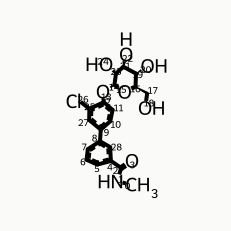 CNC(=O)c1cccc(-c2ccc(O[C@H]3O[C@H](CO)[C@@H](O)[C@H](O)[C@@H]3O)c(Cl)c2)c1